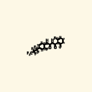 O=C(NC(=O)c1c(F)cccc1F)Nc1ccc(C(F)(F)C(F)(F)C(F)(F)F)cc1F